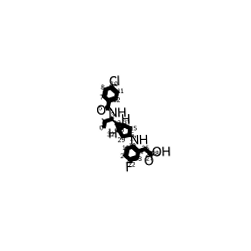 CCC(NC(=O)c1ccc(Cl)cc1)[C@H]1[C@@H]2C[C@@H](Nc3ccc(F)cc3CC(=O)O)C[C@@H]21